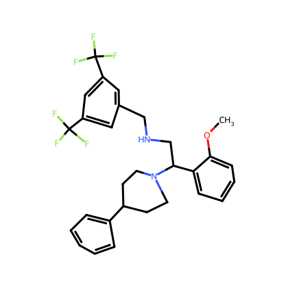 COc1ccccc1C(CNCc1cc(C(F)(F)F)cc(C(F)(F)F)c1)N1CCC(c2ccccc2)CC1